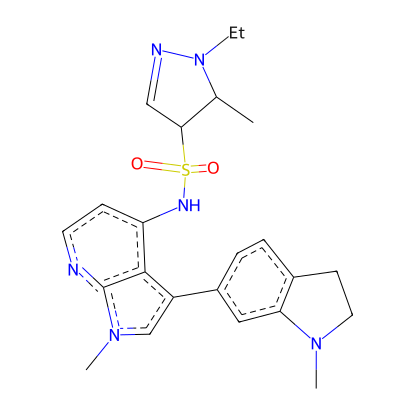 CCN1N=CC(S(=O)(=O)Nc2ccnc3c2c(-c2ccc4c(c2)N(C)CC4)cn3C)C1C